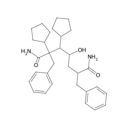 NC(=O)C(Cc1ccccc1)CC(O)C(C1CCCC1)C(Cc1ccccc1)(C(N)=O)C1CCCC1